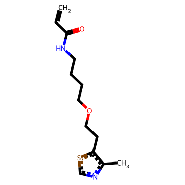 C=CC(=O)NCCCCOCCc1scnc1C